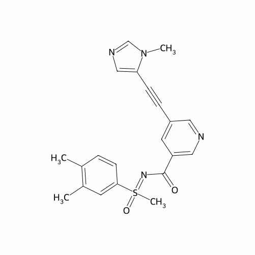 Cc1ccc(S(C)(=O)=NC(=O)c2cncc(C#Cc3cncn3C)c2)cc1C